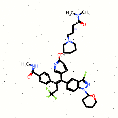 CNC(=O)c1ccc(/C(CC(F)(F)F)=C(\c2ccc(O[C@@H]3CCCN(C/C=C/C(=O)N(C)C)C3)nc2)c2ccc3c(c2)c(F)nn3C2CCCCO2)cc1